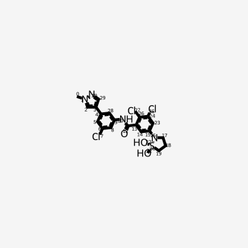 Cn1cc(-c2cc(Cl)cc(NC(=O)c3cc(N4CCCS4(O)O)cc(Cl)c3Cl)c2)cn1